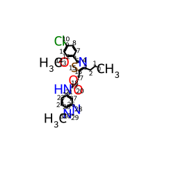 CCCc1nc(-c2ccc(Cl)cc2OC)sc1COC(=O)Nc1ccc2c(c1)ncn2C